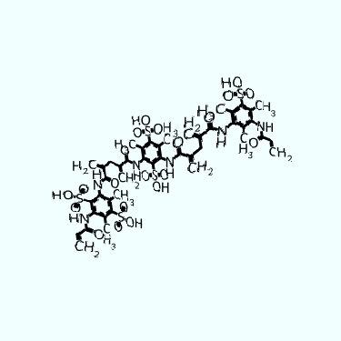 C=CC(=O)Nc1c(C)c(NC(=O)C(=C)CC(=C)C(=O)Nc2c(C)c(S(=O)(=O)O)c(C)c(NC(=O)C(=C)CC(=C)C(=O)Nc3c(C)c(S(=O)(=O)O)c(C)c(NC(=O)C=C)c3S(=O)(=O)O)c2S(=O)(=O)O)c(C)c(S(=O)(=O)O)c1C